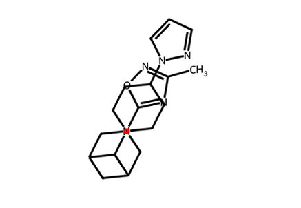 Cc1noc(N2CC3CC(C2)C3N2CCC(n3cccn3)CC2)n1